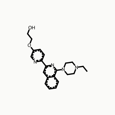 CCN1CCN(c2nc(-c3ccc(OCCO)cn3)cc3ccccc23)CC1